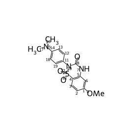 COc1ccc2c(c1)NC(=O)N(c1ccc(N(C)C)cc1)S2(=O)=O